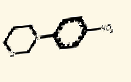 O=[N+]([O-])c1ccc(N2CCCOC2)cc1